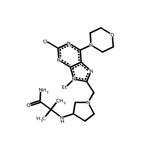 CCn1c(CN2CCC(NC(C)(C)C(N)=O)C2)nc2c(N3CCOCC3)nc(Cl)nc21